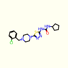 O=C(Nc1nnc(N2CCN(Cc3ccccc3Cl)CC2)s1)NC1CCCC1